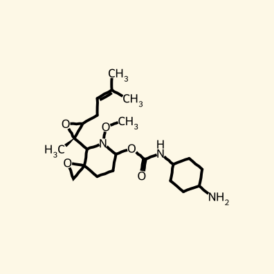 CON1C(OC(=O)NC2CCC(N)CC2)CCC2(CO2)C1[C@]1(C)OC1CC=C(C)C